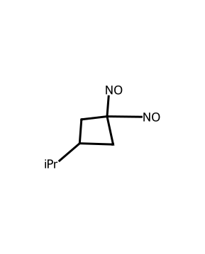 CC(C)C1CC(N=O)(N=O)C1